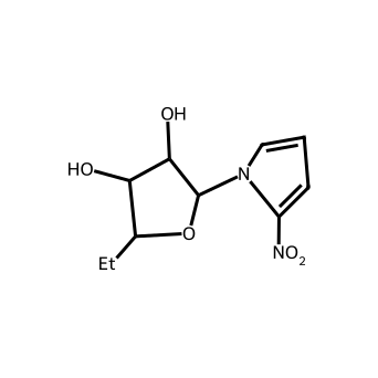 CCC1OC(n2cccc2[N+](=O)[O-])C(O)C1O